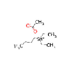 CC(=O)[O-].CCC[CH2][Sn+]([CH2]C)[CH2]C